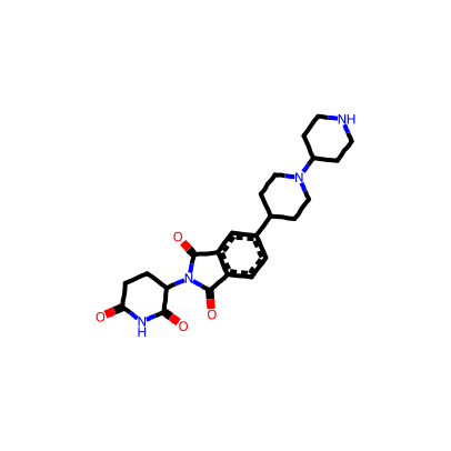 O=C1CCC(N2C(=O)c3ccc(C4CCN(C5CCNCC5)CC4)cc3C2=O)C(=O)N1